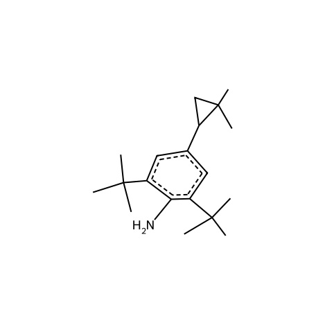 CC(C)(C)c1cc(C2CC2(C)C)cc(C(C)(C)C)c1N